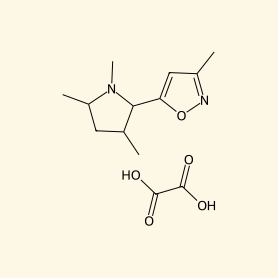 Cc1cc(C2C(C)CC(C)N2C)on1.O=C(O)C(=O)O